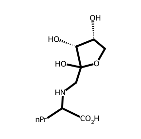 CCCC(NCC1(O)OC[C@@H](O)[C@H]1O)C(=O)O